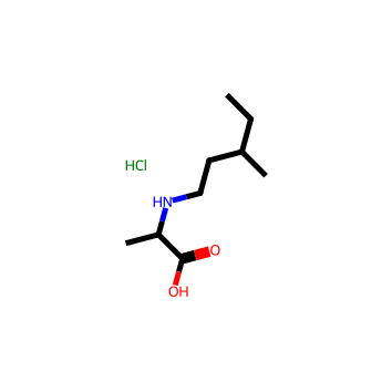 CCC(C)CCNC(C)C(=O)O.Cl